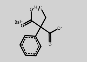 CCC(C(=O)[O-])(C(=O)[O-])c1ccccc1.[Ba+2]